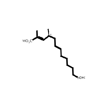 CCCCCCCCCCCCCCCCCC[C@H](C)C=C(C)C(=O)O